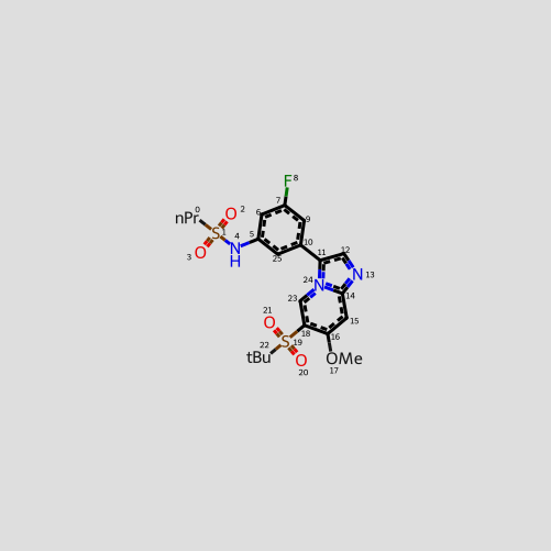 CCCS(=O)(=O)Nc1cc(F)cc(-c2cnc3cc(OC)c(S(=O)(=O)C(C)(C)C)cn23)c1